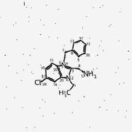 CCn1c(CN)[n+](Cc2ccccc2)c2ccc(Cl)cc21